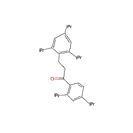 CC(C)c1[c]c(C(C)C)c(C(=O)CCc2c(C(C)C)cc(C(C)C)cc2C(C)C)cc1